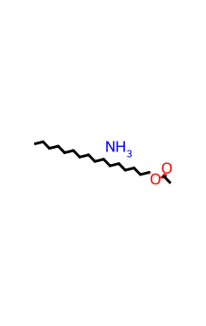 CCCCCCCCCCCCCCCCOC(C)=O.N